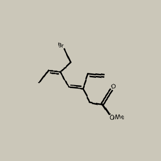 C=C/C(=C\C(=C/C)CBr)CC(=O)OC